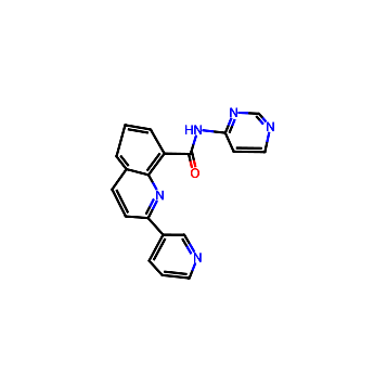 O=C(Nc1ccncn1)c1cccc2ccc(-c3cccnc3)nc12